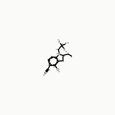 CCC1Cc2c(ccc(C#N)c2Cl)N1CC(F)(F)F